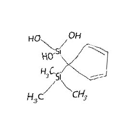 C[Si](C)(C)C1([Si](O)(O)O)C=CC=C1